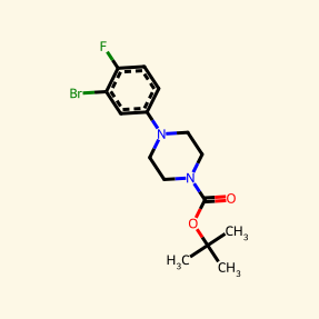 CC(C)(C)OC(=O)N1CCN(c2ccc(F)c(Br)c2)CC1